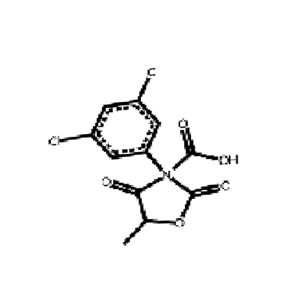 CC1OC(=O)[N+](C(=O)O)(c2cc(Cl)cc(Cl)c2)C1=O